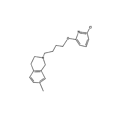 Cc1ccc2c(c1)CN(CCCCOc1cccc(Cl)n1)CC2